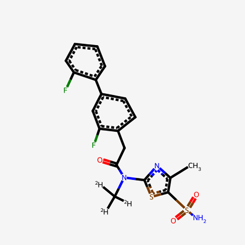 [2H]C([2H])([2H])N(C(=O)Cc1ccc(-c2ccccc2F)cc1F)c1nc(C)c(S(N)(=O)=O)s1